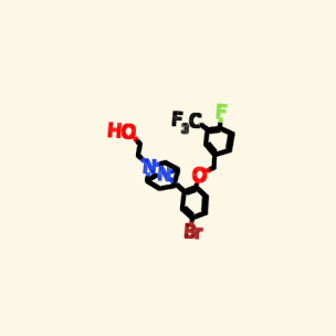 OCCN1CC2CCC1CN2c1cc(Br)ccc1OCc1ccc(F)c(C(F)(F)F)c1